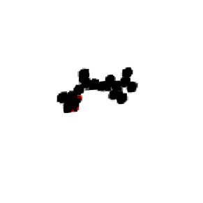 c1ccc(-c2cc(-c3ccccc3)cc(-c3cc(-c4cccc5c4sc4ccc(-c6ccc(-c7cc(-c8ccccc8)nc(-c8ccc(-c9cc%10c%11c(c9)c9ccccc9n%11-c9ccccc9C%109c%10ccccc%10-c%10ccccc%109)cc8)n7)cc6)cc45)nc(-c4cccc5c4sc4ccccc45)n3)c2)cc1